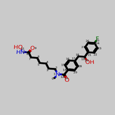 CN(CCCCCCC(=O)NO)C(=O)c1ccc(CC(O)c2ccc(F)cc2)cc1